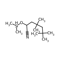 C[SiH](C)OC(C#N)CC(C)(C)CC(C)(C)C